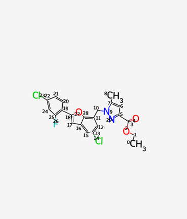 CCOC(=O)c1cc(C)n(Cc2cc(Cl)cc3cc(-c4ccc(Cl)cc4F)oc23)n1